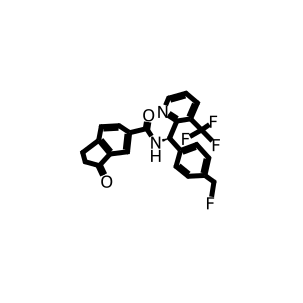 O=C(N[C@@H](c1ccc(CF)cc1)c1ncccc1C(F)(F)F)c1ccc2c(c1)C(=O)CC2